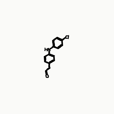 O=CCc1ccc(Nc2ccc(Cl)cc2)cc1